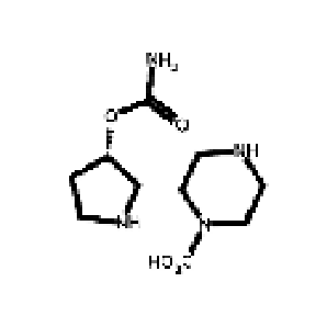 NC(=O)O[C@H]1CCNC1.O=C(O)N1CCNCC1